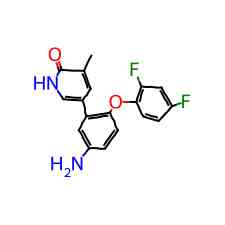 Cc1cc(-c2cc(N)ccc2Oc2ccc(F)cc2F)c[nH]c1=O